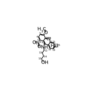 COc1ccc([N+](=O)[O-])c2c(NCCCCO)c3ccccc3nc12.Cl